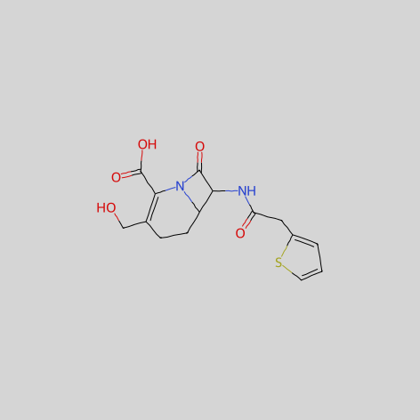 O=C(Cc1cccs1)NC1C(=O)N2C(C(=O)O)=C(CO)CCC12